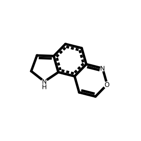 C1=Cc2c3c(ccc2=NO1)=CCN3